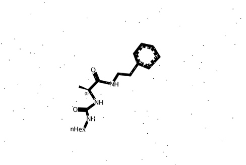 CCCCCCNC(=O)N[C@@H](C)C(=O)NCCc1ccccc1